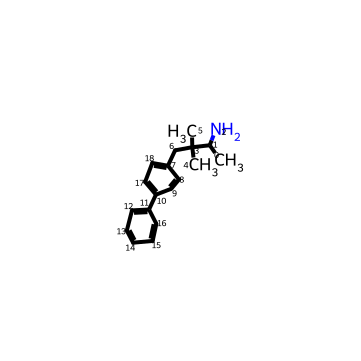 CC(N)C(C)(C)Cc1ccc(-c2ccccc2)cc1